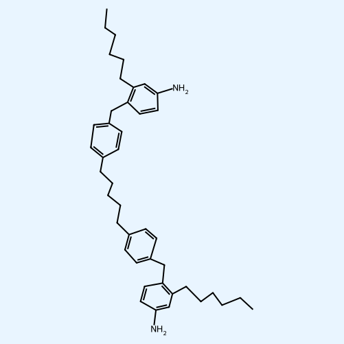 CCCCCCc1cc(N)ccc1Cc1ccc(CCCCCc2ccc(Cc3ccc(N)cc3CCCCCC)cc2)cc1